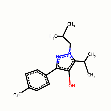 Cc1ccc(-c2nn(CC(C)C)c(C(C)C)c2O)cc1